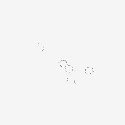 CC(C)(C)OC(=O)NCCOc1ccc2cc(OCc3ccccc3)c(N3CC(=O)NS3(=O)=O)c(F)c2c1